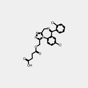 O=C(O)CCC(=O)OCc1nnc2n1-c1ccc(Cl)cc1C(c1ccccc1Cl)=NC2